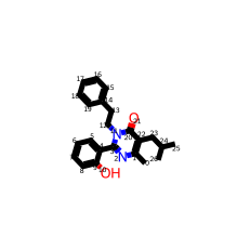 Cc1nc(-c2ccccc2O)n(CCc2ccccc2)c(=O)c1CC(C)C